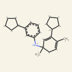 CC1=CCC(C)(Nc2cccc(C3CCCC3)c2)C=C1C1CCCC1